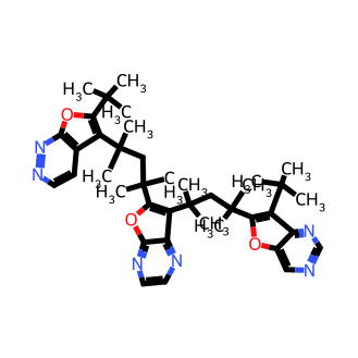 CC(C)(C)c1oc2nnccc2c1C(C)(C)CC(C)(C)c1oc2nccnc2c1C(C)(C)CC(C)(C)c1oc2cncnc2c1C(C)(C)C